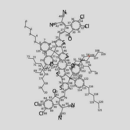 CCCCCCc1ccc(C2(c3ccc(CCCCCC)cc3)c3cc(/C=C4\C(=O)c5cc(Cl)c(Cl)cc5C4=C(C#N)C#N)sc3-c3sc4c(OCC(CC)CCCC)c5c6c(sc5c(OCC(CC)CCCC)c4c32)-c2sc(/C=C3\C(=O)c4cc(Cl)c(Cl)cc4C3=C(C#N)C#N)cc2C6(c2ccc(CCCCCC)cc2)c2ccc(CCCCCC)cc2)cc1